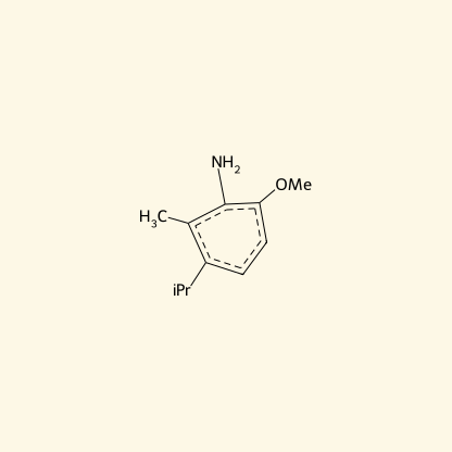 COc1ccc(C(C)C)c(C)c1N